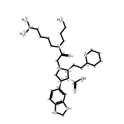 CCCCN(CCCCN(C)C)C(=O)CN1C[C@H](c2ccc3c(c2)OCO3)[C@@H](C(=O)O)[C@@H]1CCC1CCCCO1